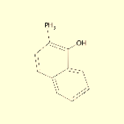 Oc1c(P)ccc2ccccc12